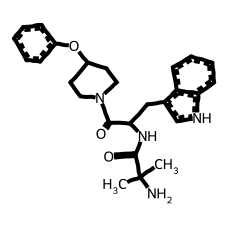 CC(C)(N)C(=O)NC(Cc1c[nH]c2ccccc12)C(=O)N1CCC(Oc2ccccc2)CC1